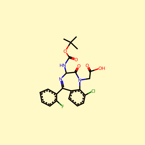 CC(C)(C)OC(=O)NC1N=C(c2ccccc2F)c2cccc(Cl)c2N(CC(=O)O)C1=O